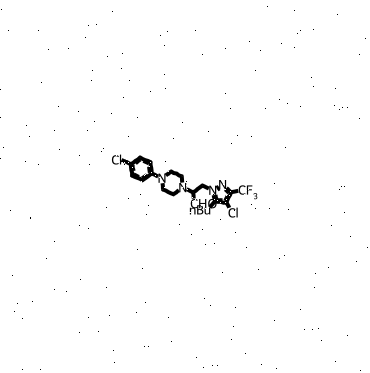 CCCCc1c(Cl)c(C(F)(F)F)nn1CC(C=O)N1CCN(c2ccc(Cl)cc2)CC1